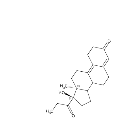 CCC(=O)[C@@]1(O)CCC2C3CCC4=CC(=O)CCC4=C3CC[C@@]21C